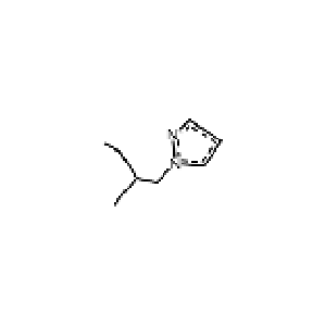 CCC(C)Cn1cccn1